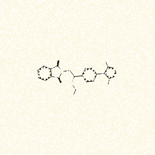 Cc1noc(C)c1-c1ccc(C(CN2C(=O)c3ccccc3C2=O)NCC#N)cc1